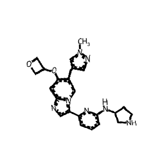 Cn1cc(-c2cn3c(-c4cccc(NC5CCNC5)n4)cnc3cc2OC2COC2)cn1